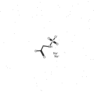 O=C([O-])CNS(=O)(=O)[O-].[Na+].[Na+]